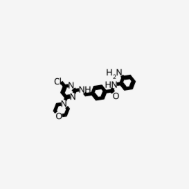 Nc1ccccc1NC(=O)c1ccc(CNc2nc(Cl)cc(N3CCOCC3)n2)cc1